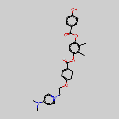 Cc1c(OC(=O)C2=CC=C(OCC[n+]3ccc(N(C)C)cc3)CC2)ccc(OC(=O)c2ccc(O)cc2)c1C